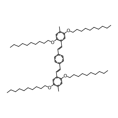 CCCCCCCCCCOc1cc(/C=C/c2ccc(/C=C/c3cc(OCCCCCCCCCC)c(C)cc3OCCCCCCCCCC)cc2)c(OCCCCCCCCCC)cc1C